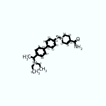 CCN(CC)C(C)c1ccc(-c2ccc(SN3CC=C(C(N)=O)CC3)cc2)cc1